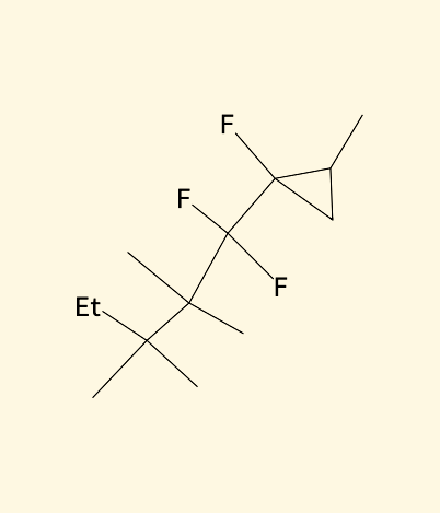 CCC(C)(C)C(C)(C)C(F)(F)C1(F)CC1C